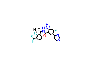 C[C@@H](NC(=O)c1cc(-c2ccncn2)c(F)cc1N)c1cccc(C(F)F)c1F